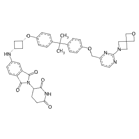 CC(C)(c1ccc(OCc2ccnc(N3CC4(COC4)C3)n2)cc1)c1ccc(O[C@H]2C[C@@H](Nc3ccc4c(c3)C(=O)N(C3CCC(=O)NC3=O)C4=O)C2)cc1